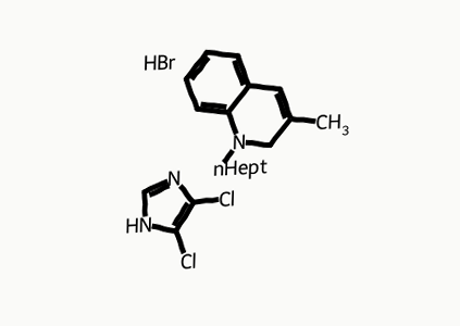 Br.CCCCCCCN1CC(C)=Cc2ccccc21.Clc1nc[nH]c1Cl